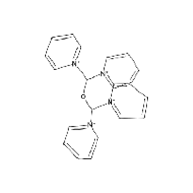 c1cc[n+](C(OC([n+]2ccccc2)[n+]2ccccc2)[n+]2ccccc2)cc1